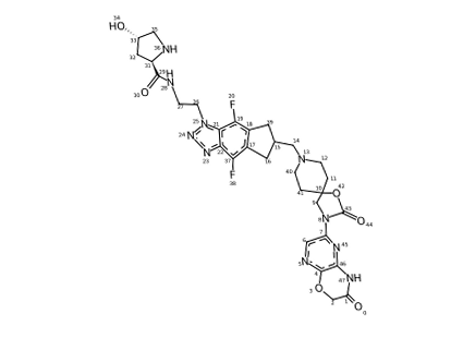 O=C1COc2ncc(N3CC4(CCN(CC5Cc6c(c(F)c7c(nnn7CCNC(=O)[C@H]7C[C@H](O)CN7)c6F)C5)CC4)OC3=O)nc2N1